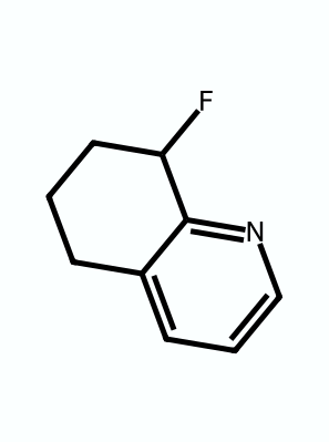 FC1CCCc2cccnc21